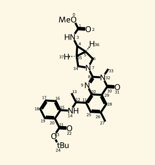 COC(=O)NC1[C@H]2CN(c3nc4c(C(C)Nc5ccccc5C(=O)OC(C)(C)C)cc(C)cc4c(=O)n3C)C[C@@H]12